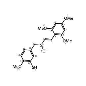 COc1cc(OC)c(/C=C/[S+]([O-])Cc2ccc(OC)c(S)c2)c(OC)c1